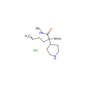 C=CCCC(NC(C)=O)(C(=O)NC(C)(C)C)C1CCNCC1.Cl